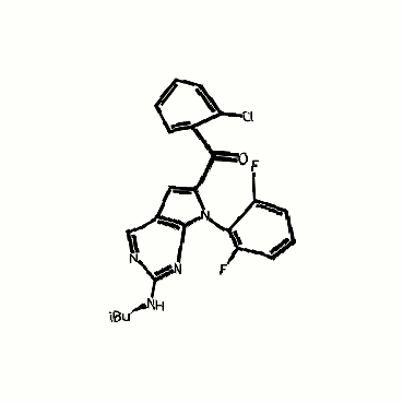 CC[C@H](C)Nc1ncc2cc(C(=O)c3ccccc3Cl)n(-c3c(F)cccc3F)c2n1